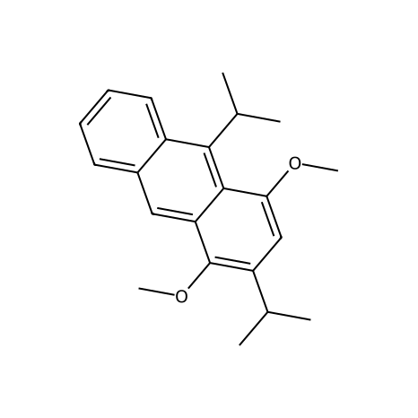 COc1c(C(C)C)cc(OC)c2c(C(C)C)c3ccccc3cc12